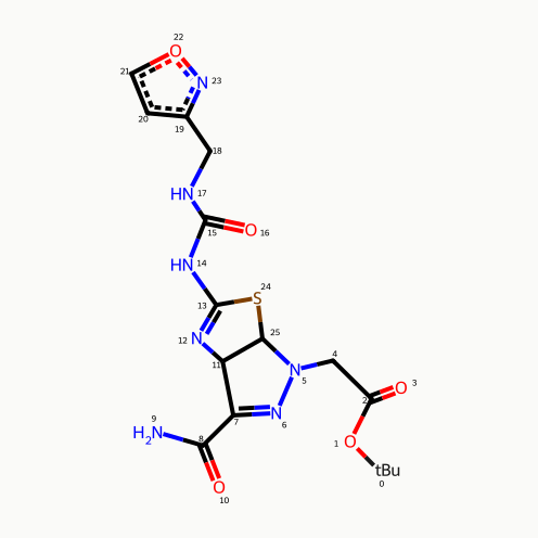 CC(C)(C)OC(=O)CN1N=C(C(N)=O)C2N=C(NC(=O)NCc3ccon3)SC21